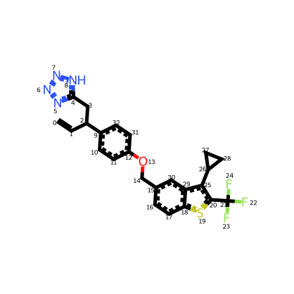 C=CC(Cc1nnn[nH]1)c1ccc(OCc2ccc3sc(C(F)(F)F)c(C4CC4)c3c2)cc1